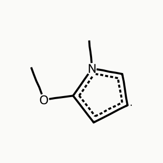 COc1c[c]cn1C